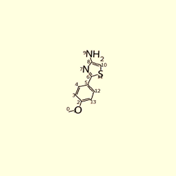 COc1ccc(-c2nc(N)cs2)cc1